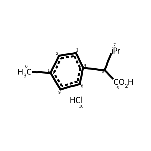 Cc1ccc(C(C(=O)O)C(C)C)cc1.Cl